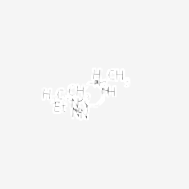 CCC(C)(C)n1nnc2c1CC[C@@H]1C(C)[C@@H]1CC2